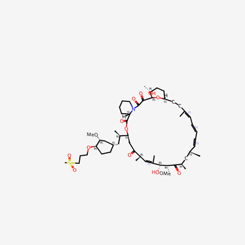 CO[C@@H]1C[C@H](C[C@@H](C)[C@@H]2CC(=O)[C@H](C)/C=C(\C)[C@@H](O)[C@@H](OC)C(=O)[C@H](C)C[C@H](C)/C=C/C=C/C=C(\C)CC[C@@H]3CC[C@@H](C)[C@@](O)(O3)C(=O)C(=O)N3CCCC[C@H]3C(=O)O2)CC[C@H]1OCCCS(C)(=O)=O